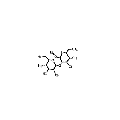 CCOC1OC(COC(C)=O)[C@@H](O)C(O)[C@@H]1O[C@@H]1OC(CO)[C@@H](O)C(O)[C@@H]1O